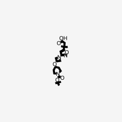 CC(C)(C)OC(=O)N1CCC(OC2CN(c3cc(C(C)(C)CC(=O)O)on3)C2)CC1